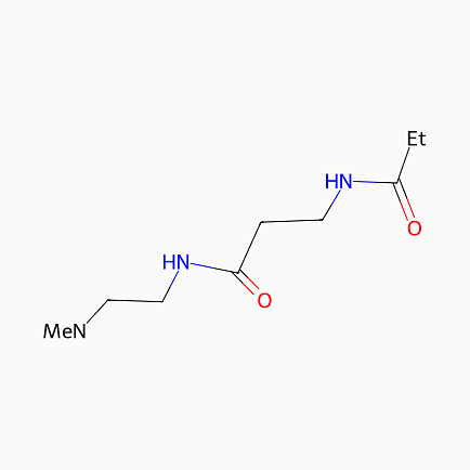 CCC(=O)NCCC(=O)NCCNC